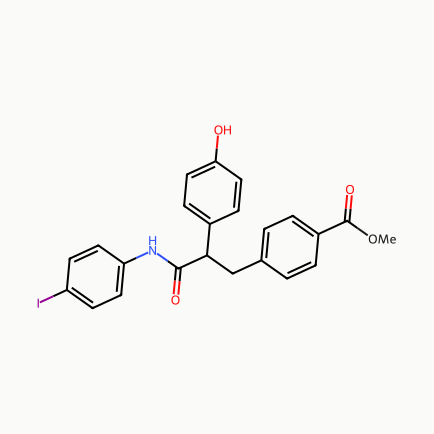 COC(=O)c1ccc(CC(C(=O)Nc2ccc(I)cc2)c2ccc(O)cc2)cc1